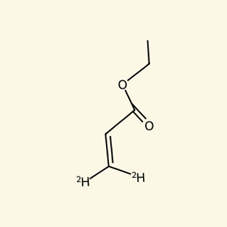 [2H]C([2H])=CC(=O)OCC